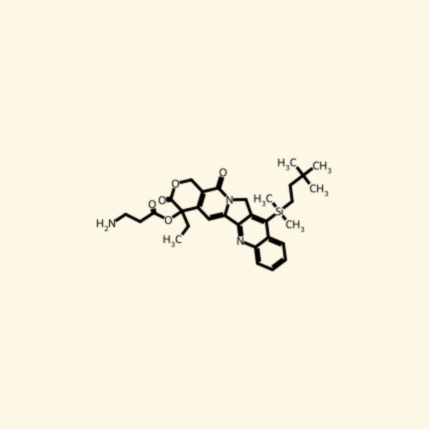 CCC1(OC(=O)CCN)C(=O)OCc2c1cc1n(c2=O)Cc2c-1nc1ccccc1c2[Si](C)(C)CCC(C)(C)C